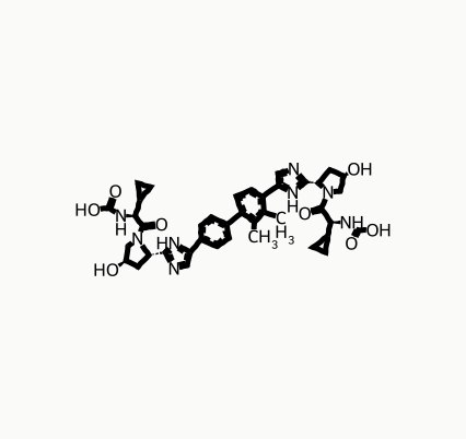 Cc1c(-c2ccc(-c3cnc([C@@H]4C[C@@H](O)CN4C(=O)[C@@H](NC(=O)O)C4CC4)[nH]3)cc2)ccc(-c2cnc([C@@H]3C[C@@H](O)CN3C(=O)[C@@H](NC(=O)O)C3CC3)[nH]2)c1C